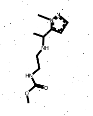 COC(=O)NCCNC(C)c1ccnn1C